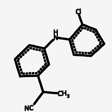 CC(C#N)c1cccc(Nc2ccccc2Cl)c1